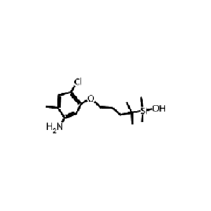 Cc1cc(Cl)c(OCCCC(C)(C)[Si](C)(C)O)cc1N